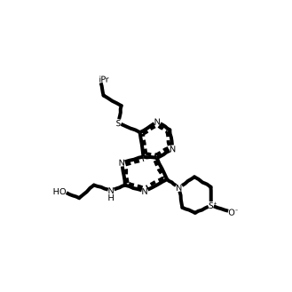 CC(C)CCSc1ncnc2c(N3CC[S+]([O-])CC3)nc(NCCO)nc12